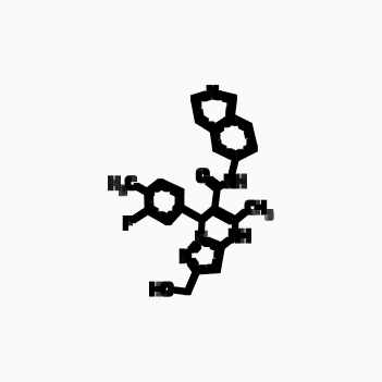 CC1=C(C(=O)Nc2ccc3cnccc3c2)C(c2ccc(C)c(F)c2)n2nc(CO)cc2N1